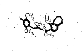 C=C(S/C=C(\C)Cc1cc(C)c(I)cc1C)c1ccc2c(c1C)CCCCC2